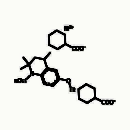 CCCCCCCCN1c2ccc(OCC)cc2C(C)CC1(C)C.O=C([O-])C1CCCCC1.O=C([O-])C1CCCCC1.[Ni+2]